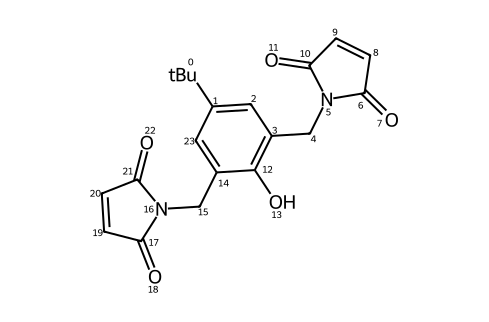 CC(C)(C)c1cc(CN2C(=O)C=CC2=O)c(O)c(CN2C(=O)C=CC2=O)c1